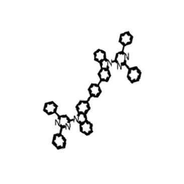 c1ccc(-c2cc(-n3c4ccccc4c4cc(-c5ccc(-c6ccc7c(c6)c6ccccc6n7-c6cc(-c7ccccc7)nc(-c7ccccc7)n6)cc5)ccc43)nc(-c3ccccc3)n2)cc1